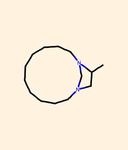 CC1CN2CCCCCCCCCCN1C2